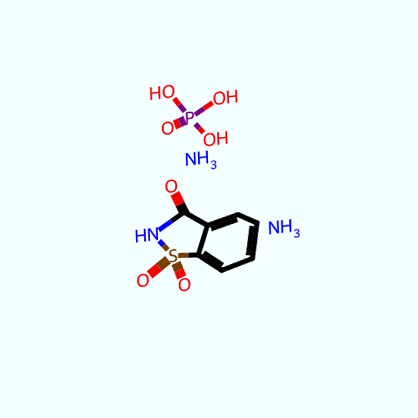 N.N.O=C1NS(=O)(=O)c2ccccc21.O=P(O)(O)O